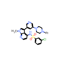 CC(C)N1CCN(c2cncc(-c3cn(C)c4nccc(NS(=O)(=O)c5cccc(Cl)c5)c34)c2)CC1